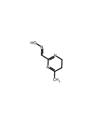 CC1=NC(/C=N/O)=NCC1